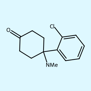 CNC1(c2ccccc2Cl)CCC(=O)CC1